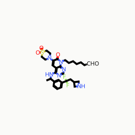 CC(Nc1ncnc2c1cc(N1CCS(=O)(=O)CC1)c(=O)n2CCCCCCC=O)c1cccc(C(F)(F)CC2CNC2)c1